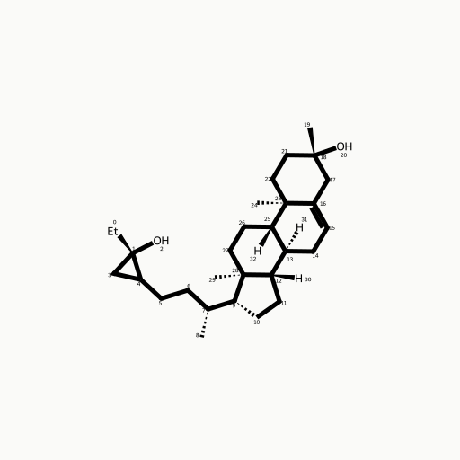 CC[C@]1(O)CC1CC[C@@H](C)[C@H]1CC[C@H]2[C@@H]3CC=C4C[C@@](C)(O)CC[C@]4(C)[C@H]3CC[C@]12C